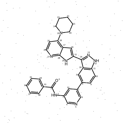 O=C(Nc1cncc(-c2ccc3[nH]nc(-c4cc5c(N6CCCCC6)ccnc5[nH]4)c3c2)c1)c1ccccc1